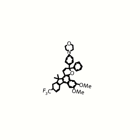 COc1cc2c3c(c4c(c2cc1OC)C1=C(CC(C(F)(F)F)C=C1)C4(C)C)C=CC(c1ccccc1)(c1ccc(N2CCOCC2)cc1)O3